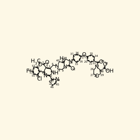 COC(=O)C1=C(CN2CCN3C(=O)N(c4ccc(Oc5ccc(C(=O)N6CCOC[C@@H]6C(=O)O)cc5)cc4)C[C@@H]3C2)NC(c2nccs2)=N[C@H]1c1ccc(F)cc1Cl